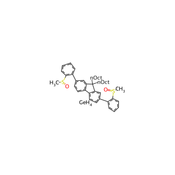 CCCCCCCCC1(CCCCCCCC)c2cc(-c3ccccc3S(C)=O)ccc2-c2ccc(-c3ccccc3S(C)=O)cc21.[GeH4]